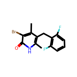 Cc1[nH]c(=O)c(Br)c(C)c1Cc1c(F)cccc1F